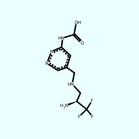 N[C@@H](CNCc1cnnc(NC(=O)O)c1)C(F)(F)F